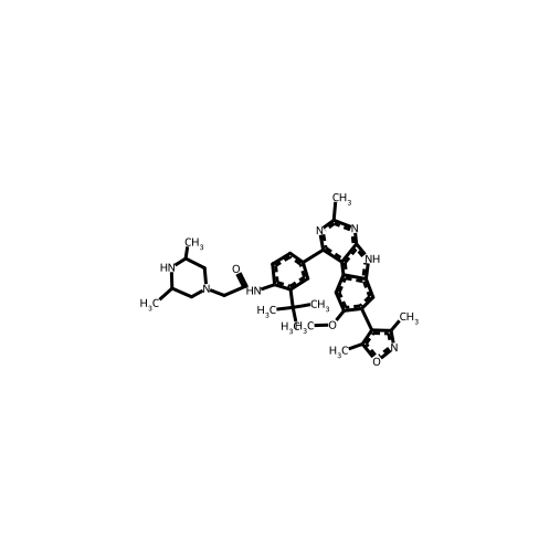 COc1cc2c(cc1-c1c(C)noc1C)[nH]c1nc(C)nc(-c3ccc(NC(=O)CN4CC(C)NC(C)C4)c(C(C)(C)C)c3)c12